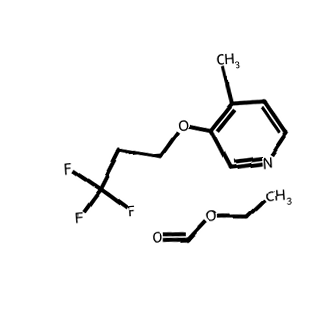 CCOC=O.Cc1ccncc1OCCC(F)(F)F